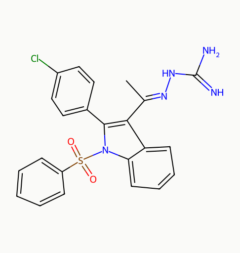 CC(=NNC(=N)N)c1c(-c2ccc(Cl)cc2)n(S(=O)(=O)c2ccccc2)c2ccccc12